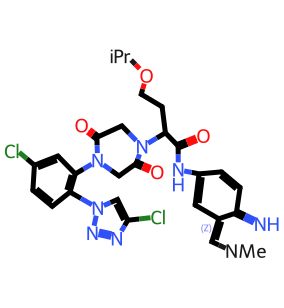 CN/C=C1/C=C(NC(=O)C(CCOC(C)C)N2CC(=O)N(c3cc(Cl)ccc3-n3cc(Cl)nn3)CC2=O)C=CC1=N